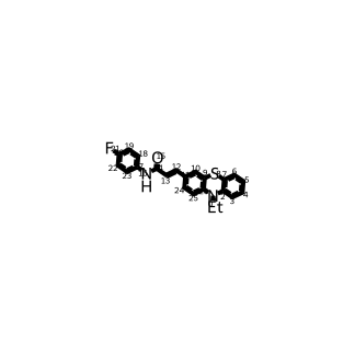 CCN1c2ccccc2Sc2cc(/C=C/C(=O)Nc3ccc(F)cc3)ccc21